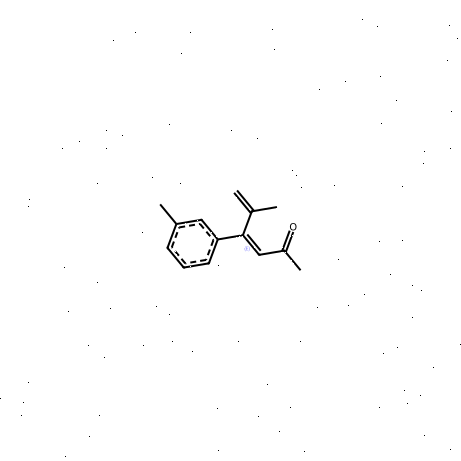 C=C(C)/C(=C\C(C)=O)c1cccc(C)c1